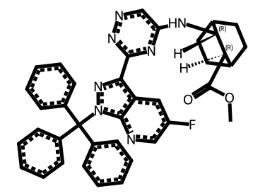 COC(=O)[C@@H]1C2CCC(CC2)[C@H]1Nc1cnnc(-c2nn(C(c3ccccc3)(c3ccccc3)c3ccccc3)c3ncc(F)cc23)n1